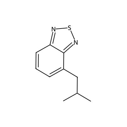 CC(C)Cc1cccc2nsnc12